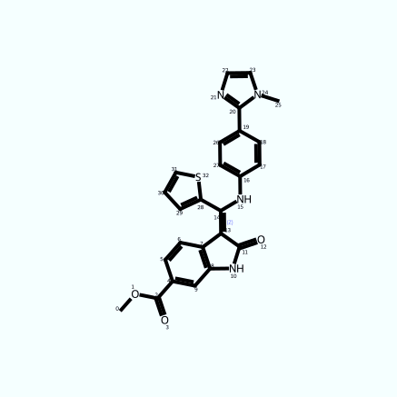 COC(=O)c1ccc2c(c1)NC(=O)/C2=C(\Nc1ccc(-c2nccn2C)cc1)c1cccs1